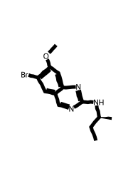 CC[C@H](C)Nc1ncc2cc(Br)c(OC)cc2n1